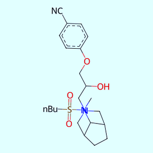 CCCCS(=O)(=O)N(C)C1C2CCC1CN(CC(O)COc1ccc(C#N)cc1)C2